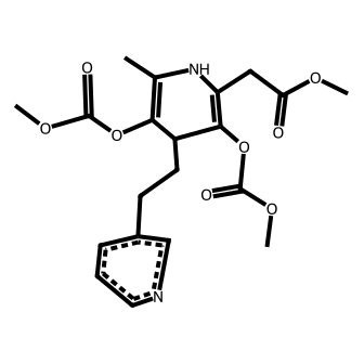 COC(=O)CC1=C(OC(=O)OC)C(CCc2cccnc2)C(OC(=O)OC)=C(C)N1